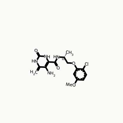 C=C1NC(=O)NC(C(=O)N[C@H](C)COc2cc(OC)ccc2Cl)=C1N